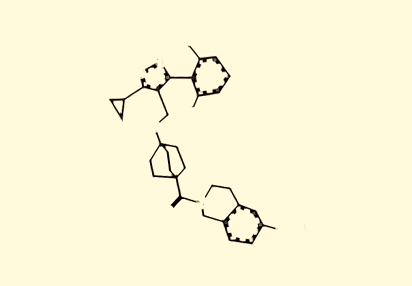 O=C(O)c1ccc2c(c1)CCN(C(=O)C13CCC(OCc4c(-c5c(Cl)cccc5Cl)noc4C4CC4)(CC1)CC3)C2